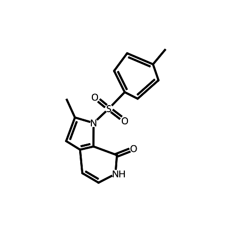 Cc1ccc(S(=O)(=O)n2c(C)cc3cc[nH]c(=O)c32)cc1